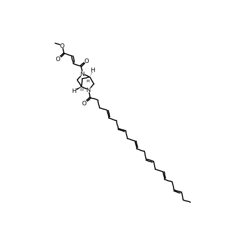 CCC=CCC=CCC=CCC=CCC=CCC=CCCC(=O)N1C[C@H]2C[C@H]1CN2C(=O)C=CC(=O)OC